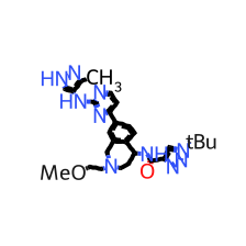 COCCN1CCC(NC(=O)c2cn(C(C)(C)C)nn2)c2ccc(-c3ccnc(Nc4c[nH]nc4C)n3)cc2C1